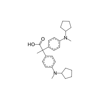 CN(c1ccc(C(C)(C(=O)O)c2ccc(N(C)C3CCCC3)cc2)cc1)C1CCCC1